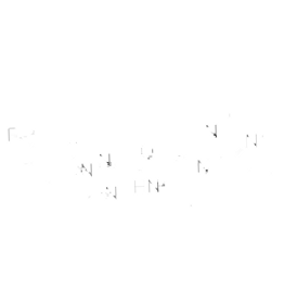 CCc1cn2cccc2c(N2CCC(NC(=O)c3ncn(-c4ccc(F)cc4)n3)C2)n1